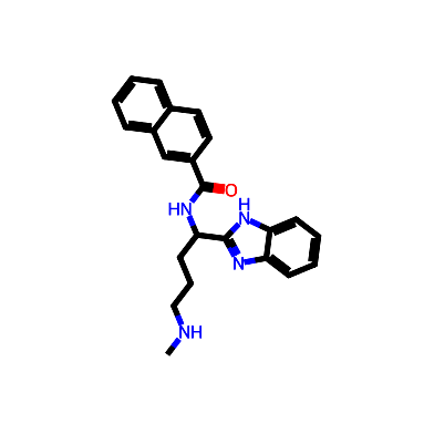 CNCCCC(NC(=O)c1ccc2ccccc2c1)c1nc2ccccc2[nH]1